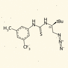 Cc1cc(NC(=S)N[C@H](CN=[N+]=[N-])C(C)(C)C)cc(C(F)(F)F)c1